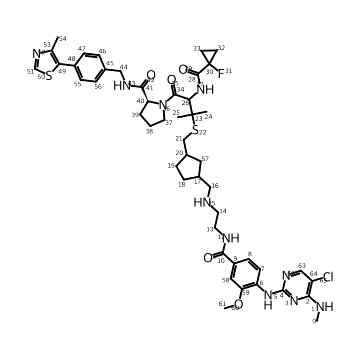 CNc1nc(Nc2ccc(C(=O)NCCNCC3CCC(CSC(C)(C)C(NC(=O)C4(F)CC4)C(=O)N4CCC[C@H]4C(=O)NCc4ccc(-c5scnc5C)cc4)C3)cc2OC)ncc1Cl